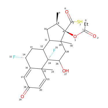 CCC(=O)O[C@]1(C(=O)S)[C@H](C)CC2C3C[C@@H](F)C4=CC(=O)C=CC4(C)[C@]3(F)C(O)CC21C